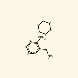 C1CCCCC1.NCc1ccccc1P